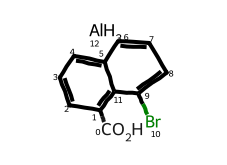 O=C(O)c1cccc2cccc(Br)c12.[AlH3]